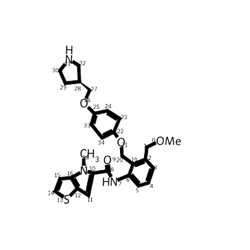 COCc1cccc(NC(=O)c2cc3sccc3n2C)c1COc1ccc(OC[C@H]2CCNC2)cc1